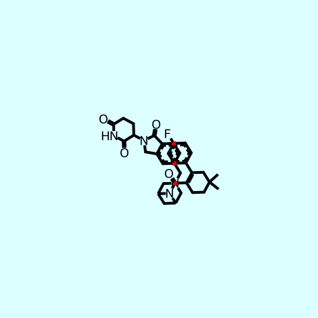 CC1(C)CCC(C(=O)N2C3CC2CN(Cc2ccc4c(c2)CN(C2CCC(=O)NC2=O)C4=O)C3)=C(c2ccc(F)cc2)C1